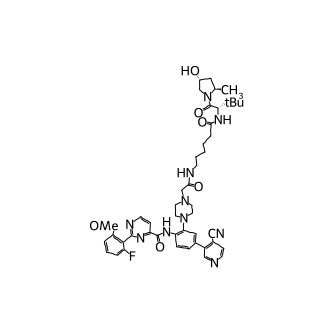 COc1cccc(F)c1-c1nccc(C(=O)Nc2ccc(-c3cnccc3C#N)cc2N2CCN(CC(=O)NCCCCCC(=O)N[C@H](C(=O)N3C[C@H](O)C[C@H]3C)C(C)(C)C)CC2)n1